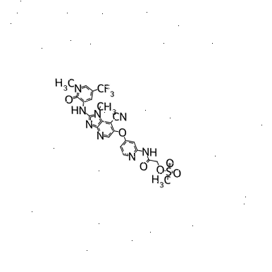 Cn1cc(C(F)(F)F)cc(Nc2nc3ncc(Oc4ccnc(NC(=O)COS(C)(=O)=O)c4)c(C#N)c3n2C)c1=O